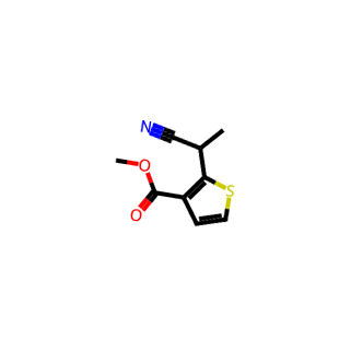 COC(=O)c1ccsc1C(C)C#N